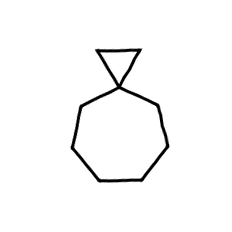 C1CCCC2(CC1)CC2